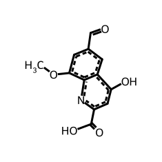 COc1cc(C=O)cc2c(O)cc(C(=O)O)nc12